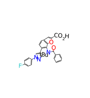 CC(C)(C)N(C(=O)c1ccccc1)c1c(-c2cnn(-c3ccc(F)cc3)c2)ccc2cc(C(=O)O)oc12